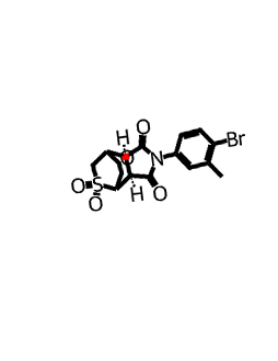 Cc1cc(N2C(=O)[C@@H]3C4CS(=O)(=O)C(CC4=O)[C@@H]3C2=O)ccc1Br